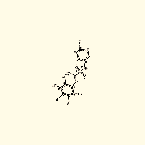 O=[N+]([O-])C(=Cc1c(F)c(F)c(F)c(F)c1F)S(=O)(=O)Nc1ccc(F)cc1